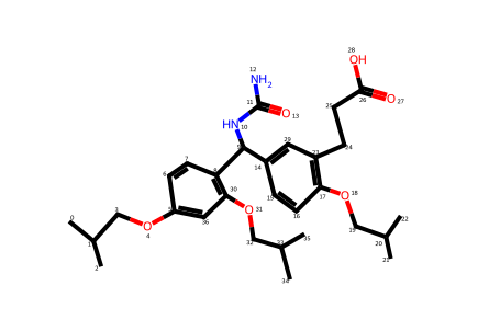 CC(C)COc1ccc(C(NC(N)=O)c2ccc(OCC(C)C)c(CCC(=O)O)c2)c(OCC(C)C)c1